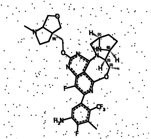 Cc1c(F)c(N)cc(-c2nc3c4c(nc(OC[C@]56CCN(C)C5COC6)nc4c2F)N2C[C@H]4CC[C@H](N4)[C@H]2[C@H](C)O3)c1C(F)(F)F